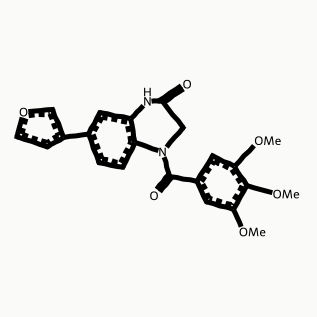 COc1cc(C(=O)N2CC(=O)Nc3cc(-c4ccoc4)ccc32)cc(OC)c1OC